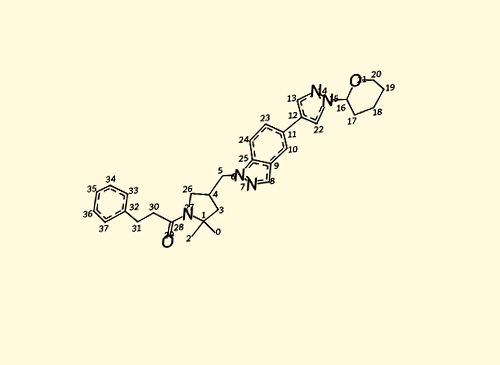 CC1(C)CC(Cn2ncc3cc(-c4cnn(C5CCCCO5)c4)ccc32)CN1C(=O)CCc1ccccc1